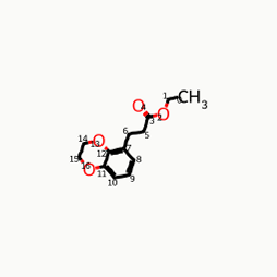 CCOC(=O)CCc1cccc2c1OCCO2